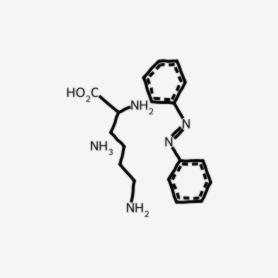 N.NCCCCC(N)C(=O)O.c1ccc(N=Nc2ccccc2)cc1